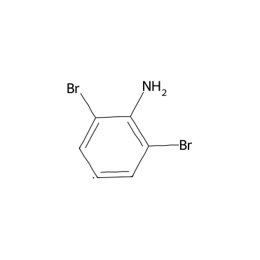 Nc1c(Br)c[c]cc1Br